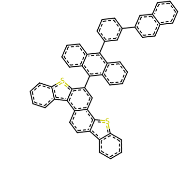 c1cc(-c2ccc3ccccc3c2)cc(-c2c3ccccc3c(-c3cc4c(ccc5c6ccccc6sc54)c4c3sc3ccccc34)c3ccccc23)c1